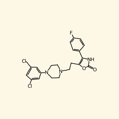 O=c1[nH]c(-c2ccc(F)cc2)c(CCN2CCN(c3cc(Cl)cc(Cl)c3)CC2)o1